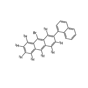 [2H]c1c([2H])c([2H])c2c(Br)c3c([2H])c(-c4cccc5ccccc45)c([2H])c([2H])c3c([2H])c2c1[2H]